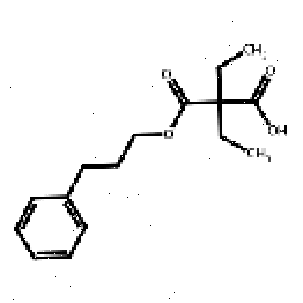 CCC(CC)(C(=O)O)C(=O)OCCCc1ccccc1